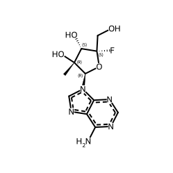 C[C@]1(O)[C@H](n2cnc3c(N)ncnc32)O[C@](F)(CO)[C@H]1O